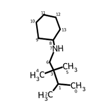 CC(C)C(C)(C)CNC1CCCCC1